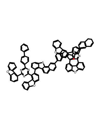 C1=Cc2cc(-c3nc(-c4ccc5oc6ccccc6c5c4)nc(-c4cccc5oc6cccc(-c7cc8ccccc8c8oc9ccc(-c%10ccc%11ccc%12c(sc%13cccc(-c%14ccc%15oc%16ccccc%16c%15c%14-c%14nc(-c%15ccc(-c%16ccccc%16)cc%15)nc(-c%15cccc%16oc%17ccccc%17c%15%16)n%14)c%13%12)c%11c%10)cc9c78)c6c45)n3)ccc2CC1